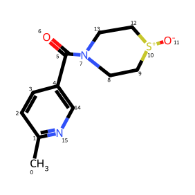 Cc1ccc(C(=O)N2CC[S+]([O-])CC2)cn1